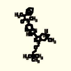 C=C(C(=O)N(C)c1cnc2[nH]c(-c3nn(COCC[Si](C)(C)C)c4c3C[C@@H]3C[C@]3(C)C4)nc2c1)N1CC2CC(C1)O2